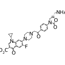 CC(=O)NC[C@H]1CN(c2ccc(C(=O)CN3CCN(c4cc5c(cc4F)c(=O)c(C(=O)O)cn5C4CC4)CC3)cc2)C(=O)O1